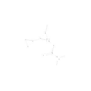 CC1C(C2CC2)N1CC(=O)N(C)C